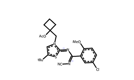 COc1ccc(Cl)cc1C(=N/C#N)/N=c1\sc(C(C)(C)C)cn1CC1(OC(C)=O)CCC1